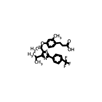 Cc1cc(O[C@@H](C)c2sc(-c3ccc(C(F)(F)F)cc3)nc2C(C)C)ccc1CCC(=O)O